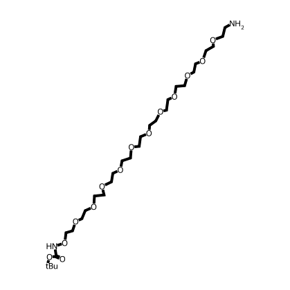 CC(C)(C)OC(=O)NOCCOCCOCCOCCOCCOCCOCCOCCOCCOCCOCCOCCN